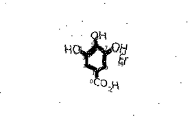 O=C(O)c1cc(O)c(O)c(O)c1.[Er]